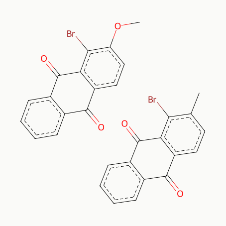 COc1ccc2c(c1Br)C(=O)c1ccccc1C2=O.Cc1ccc2c(c1Br)C(=O)c1ccccc1C2=O